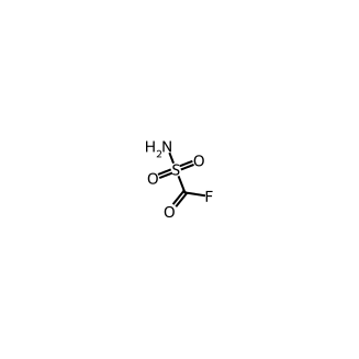 NS(=O)(=O)C(=O)F